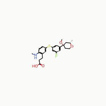 CNc1ccc(Sc2cc(F)cc([C@@]3(OC)CCO[C@@H](C)C3)c2)cc1CCC(=O)O